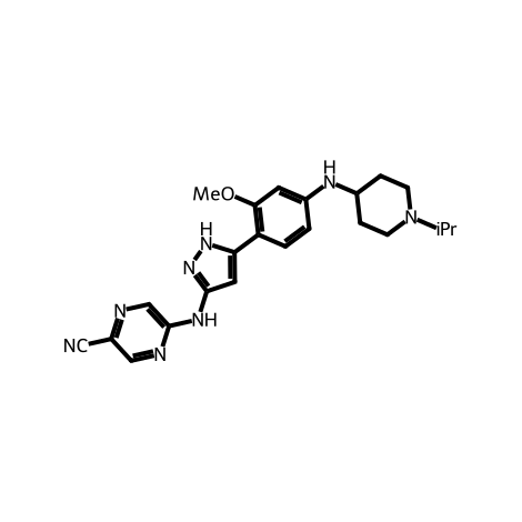 COc1cc(NC2CCN(C(C)C)CC2)ccc1-c1cc(Nc2cnc(C#N)cn2)n[nH]1